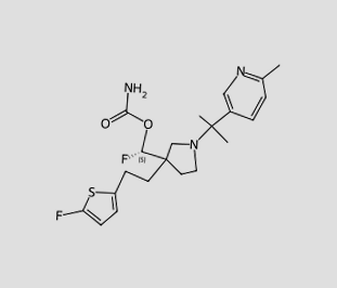 Cc1ccc(C(C)(C)N2CCC(CCc3ccc(F)s3)([C@H](F)OC(N)=O)C2)cn1